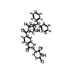 O=C1CCC(N2Cc3cc(C(=O)N4C[C@H]5C[C@@H]4CN5C(c4ccccc4)c4ccccc4)ccc3C2=O)C(=O)N1